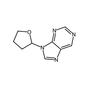 c1ncc2ncn(C3CCCO3)c2n1